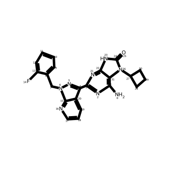 Nc1nc(-c2nn(Cc3ccccc3F)c3ncccc23)nc2[nH]c(=O)n(C3CCC3)c12